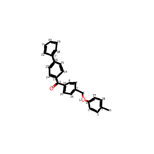 Cc1ccc(OCc2ccc(C(=O)c3ccc(-c4ccccc4)cc3)cc2)cc1